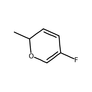 CC1C=CC(F)=CO1